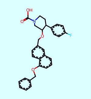 O=C(O)N1CCC(c2ccc(F)cc2)C(OCc2ccc3c(OCc4ccccc4)cccc3c2)C1